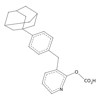 O=C(O)Oc1ncccc1Cc1ccc(C23CC4CC(CC(C4)C2)C3)cc1